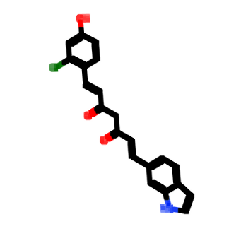 O=C(C=Cc1ccc2cc[nH]c2c1)CC(=O)C=Cc1ccc(O)cc1Cl